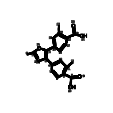 Cc1nc(-c2ccc(C(=O)O)c(C)c2)c(-c2ccc(C(=O)O)c(C)c2)o1